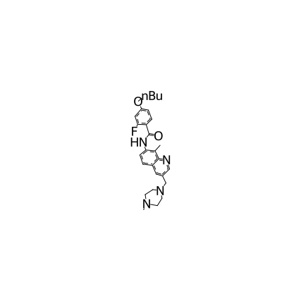 CCCCOc1ccc(C(=O)Nc2ccc3cc(CN4CCN(C)CC4)cnc3c2C)c(F)c1